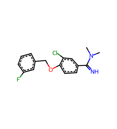 CN(C)C(=N)c1ccc(OCc2cccc(F)c2)c(Cl)c1